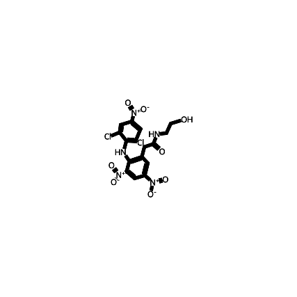 O=C(Cc1cc([N+](=O)[O-])cc([N+](=O)[O-])c1Nc1c(Cl)cc([N+](=O)[O-])cc1Cl)NCCO